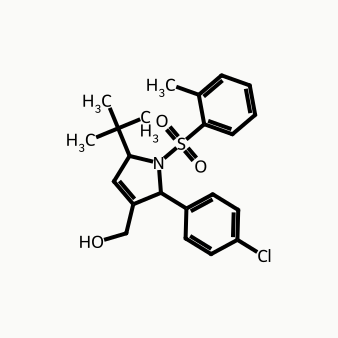 Cc1ccccc1S(=O)(=O)N1C(c2ccc(Cl)cc2)C(CO)=CC1C(C)(C)C